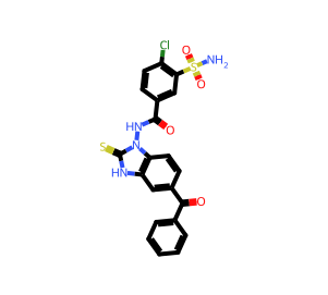 NS(=O)(=O)c1cc(C(=O)Nn2c(=S)[nH]c3cc(C(=O)c4ccccc4)ccc32)ccc1Cl